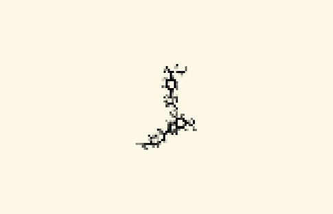 CCN(C)C(=O)c1ccc(-c2nc(COc3cc(OC)cc4oc(-c5cn6nc(OC)sc6n5)cc34)cs2)cc1